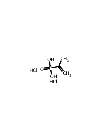 C=C(C)P(=O)(O)O.Cl.Cl